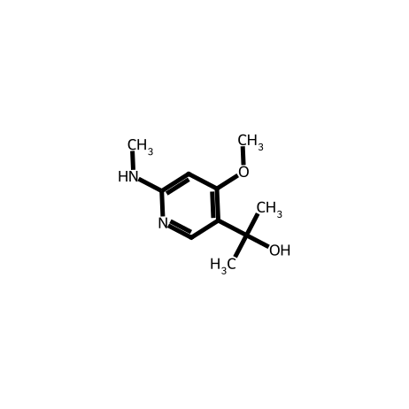 CNc1cc(OC)c(C(C)(C)O)cn1